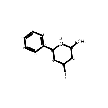 CC1CC(I)CC(c2ccccc2)O1